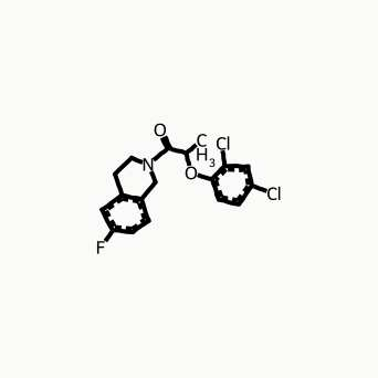 CC(Oc1ccc(Cl)cc1Cl)C(=O)N1CCc2cc(F)ccc2C1